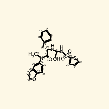 CN(C(=O)[C@H](Cc1ccccc1)NC(O)NS(=O)(=O)c1cccs1)c1ccc2c(c1)OCO2